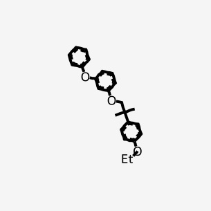 CCOc1ccc(C(C)(C)COc2cccc(Oc3ccccc3)c2)cc1